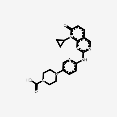 O=C(O)N1CCN(c2ccc(Nc3ncc4ccc(=O)n(C5CC5)c4n3)nc2)CC1